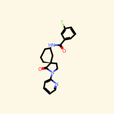 O=C(N[C@H]1CCC[C@]2(CCN(c3ccccn3)C2=O)C1)c1cccc(F)c1